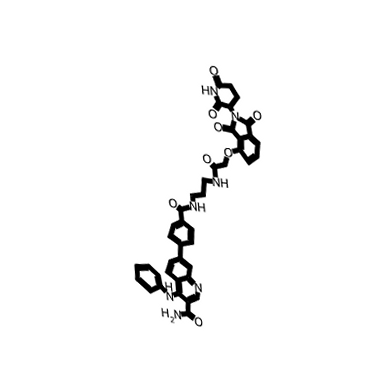 NC(=O)c1cnc2cc(-c3ccc(C(=O)NCCCNC(=O)COc4cccc5c4C(=O)N(C4CCC(=O)NC4=O)C5=O)cc3)ccc2c1Nc1ccccc1